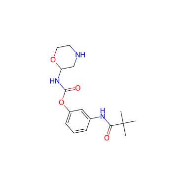 CC(C)(C)C(=O)Nc1cccc(OC(=O)NC2CNCCO2)c1